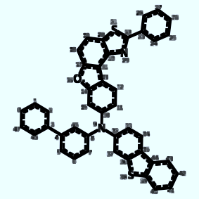 c1ccc(-c2cccc(N(c3ccc4c(c3)oc3ccc5sc(-c6ccccc6)nc5c34)c3ccc4c(c3)sc3ccccc34)c2)cc1